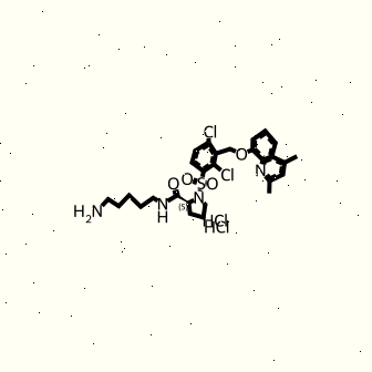 Cc1cc(C)c2cccc(OCc3c(Cl)ccc(S(=O)(=O)N4CCC[C@H]4C(=O)NCCCCCN)c3Cl)c2n1.Cl.Cl